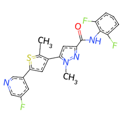 Cc1sc(-c2cncc(F)c2)cc1-c1cc(C(=O)Nc2c(F)cccc2F)nn1C